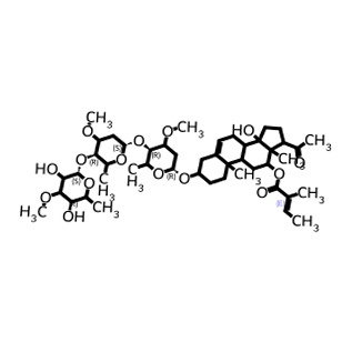 C/C=C(\C)C(=O)OC1CC2C(CC=C3CC(O[C@H]4CC(OC)[C@H](O[C@H]5CC(OC)[C@H](O[C@@H]6OC(C)[C@@H](O)C(OC)C6O)C(C)O5)C(C)O4)CCC32C)C2(O)CCC(C(C)=O)C12C